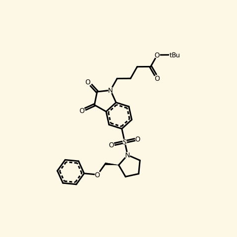 CC(C)(C)OC(=O)CCCN1C(=O)C(=O)c2cc(S(=O)(=O)N3CCC[C@H]3COc3ccccc3)ccc21